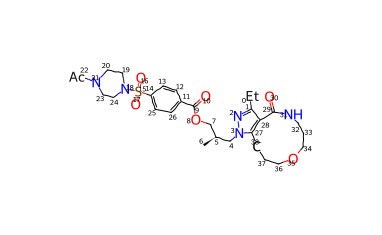 CCc1nn(C[C@@H](C)COC(=O)c2ccc(S(=O)(=O)N3CCN(C(C)=O)CC3)cc2)c2c1C(=O)NCCCOCCC2